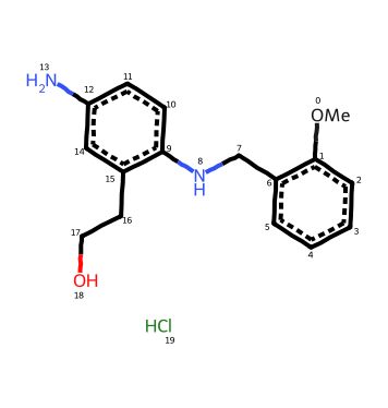 COc1ccccc1CNc1ccc(N)cc1CCO.Cl